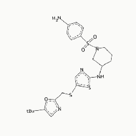 CC(C)(C)c1cnc(CSc2cnc(NC3CCCN(S(=O)(=O)c4ccc(N)cc4)C3)s2)o1